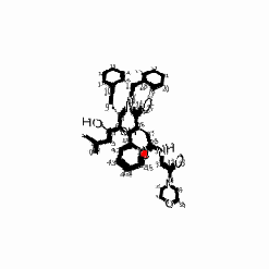 CC(C)C[C@H](O)[C@H](O)[C@H](CC1CCCCC1)N(CC1CCCCC1)C(=O)[C@@H](CC(=O)NCC(=O)N1CCOCC1)Cc1ccccn1